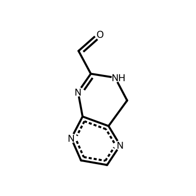 O=CC1=Nc2nccnc2CN1